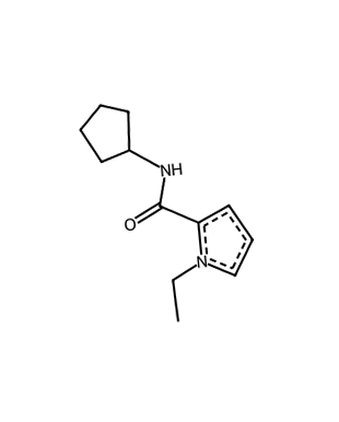 CCn1cccc1C(=O)NC1CCCC1